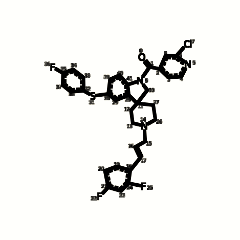 O=C(c1ccnc(Cl)c1)N1CC2(CCN(C/C=C/c3ccc(F)cc3F)CC2)c2cc(Sc3ccc(F)cc3)ccc21